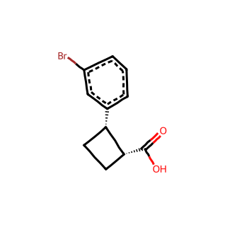 O=C(O)[C@@H]1CC[C@@H]1c1cccc(Br)c1